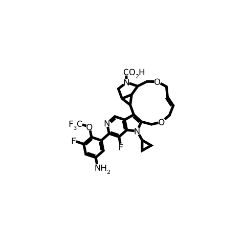 Nc1cc(F)c(OC(F)(F)F)c(-c2ncc3c4c(n(C5CC5)c3c2F)COC/C=C/COCC2C3C(CN2C(=O)O)C43)c1